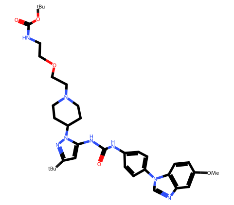 COc1ccc2c(c1)ncn2-c1ccc(NC(=O)Nc2cc(C(C)(C)C)nn2C2CCN(CCOCCNC(=O)OC(C)(C)C)CC2)cc1